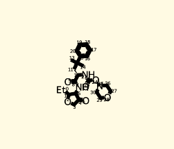 CCC1OCC(=O)C1NC(=O)[C@H](CC(C)(C)c1ccccc1)NC(=O)ON1CCOCC1